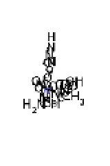 CC1(C)C(NC(=O)/C(=N\O[C@@H](COc2ccc3nc(N4CCNCC4)ccc3c2)C(=O)O)c2csc(N)n2)C(=O)N1OS(=O)(=O)O